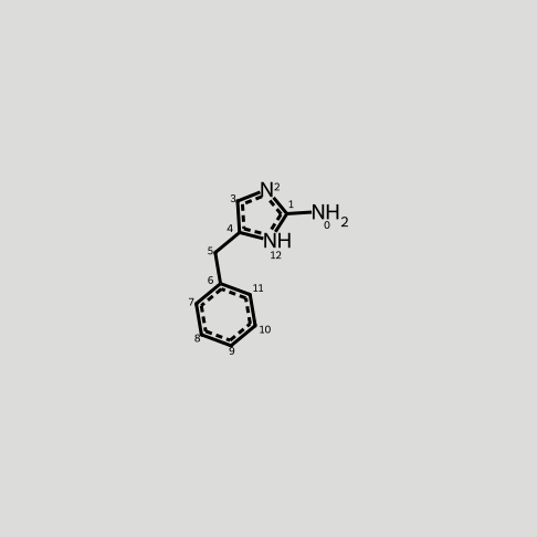 Nc1ncc(Cc2ccccc2)[nH]1